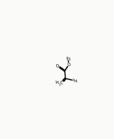 [2H]C(=C)C(=O)OCC